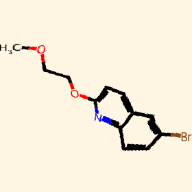 COCCOc1ccc2cc(Br)ccc2n1